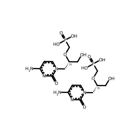 Nc1ccn(C[C@@H](CO)OCP(=O)(O)O)c(=O)n1.Nc1ccn(C[C@@H](CO)OCP(=O)(O)O)c(=O)n1